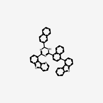 c1ccc2cc(C3N=C(c4cccc5oc6cccnc6c45)N=C(c4ccc(-c5cccc6oc7ccccc7c56)c5ccccc45)N3)ccc2c1